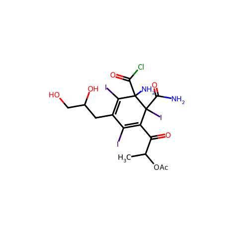 CC(=O)OC(C)C(=O)C1=C(I)C(CC(O)CO)=C(I)C(N)(C(=O)Cl)C1(I)C(N)=O